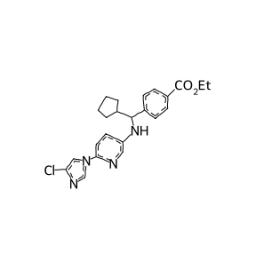 CCOC(=O)c1ccc(C(Nc2ccc(-n3cnc(Cl)c3)nc2)C2CCCC2)cc1